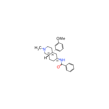 COc1cccc([C@@]23CCN(C)C[C@H]2CC[C@H](NC(=O)c2ccccc2)C3)c1